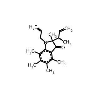 C=CCN1c2c(C)c(C)c(C)c(C)c2C(=O)C1(C)C(C)C=C